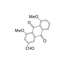 COc1cccc2c1C(=O)c1c(OC)cc(C=O)cc1C2=O